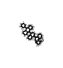 c1ccc(-c2c3ccccc3c(-c3ccc(-c4cc5cccc6oc7cccc4c7c56)c4ccccc34)c3ccccc23)cc1